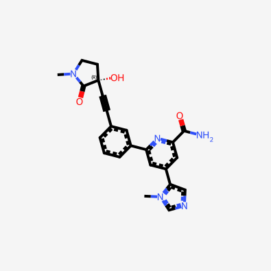 CN1CC[C@@](O)(C#Cc2cccc(-c3cc(-c4cncn4C)cc(C(N)=O)n3)c2)C1=O